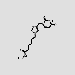 O=C(CCCCCn1cc(Cn2ccc(=O)[nH]c2=O)nn1)NO